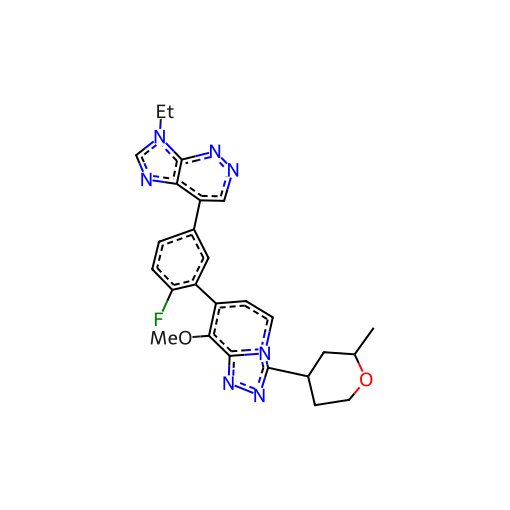 CCn1cnc2c(-c3ccc(F)c(-c4ccn5c(C6CCOC(C)C6)nnc5c4OC)c3)cnnc21